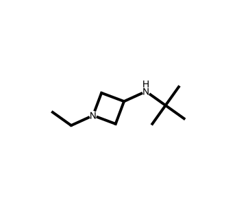 CCN1CC(NC(C)(C)C)C1